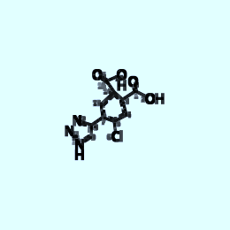 O=C(O)c1cc(Cl)c(-c2c[nH]nn2)cc1C(=O)O